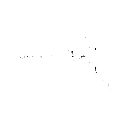 C=CCCCCCCCCC(=O)NC(C(=O)OCCCCCCO)C(C)C